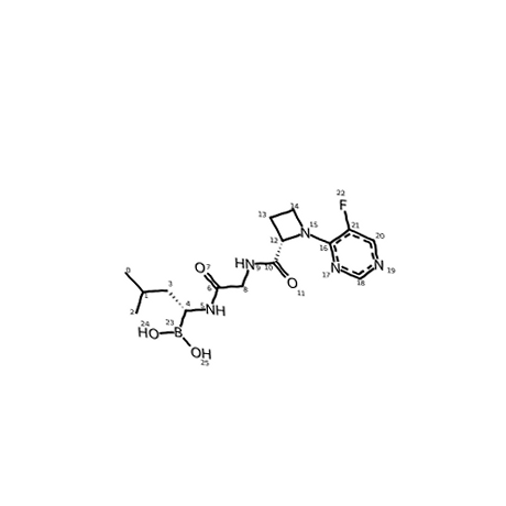 CC(C)C[C@H](NC(=O)CNC(=O)[C@@H]1CCN1c1ncncc1F)B(O)O